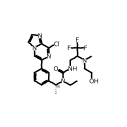 CCN(C(=O)NCC(N(C)CCO)C(F)(F)F)[C@H](C)c1cccc(-c2cn3ccnc3c(Cl)n2)c1